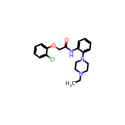 CCN1CCN(c2ccccc2NC(=O)COc2ccccc2Cl)CC1